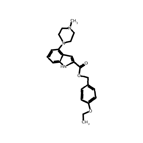 CCOc1ccc(COC(=O)c2cc3c(N4CCN(C)CC4)cccc3[nH]2)cc1